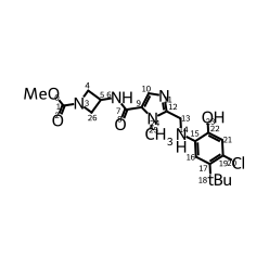 COC(=O)N1CC(NC(=O)c2cnc(CNc3cc(C(C)(C)C)c(Cl)cc3O)n2C)C1